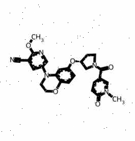 COc1ncc(N2CCOc3ccc(O[C@H]4CCN(C(=O)c5ccc(=O)n(C)c5)C4)cc32)cc1C#N